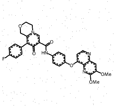 COc1cc2nccc(Oc3ccc(NC(=O)c4cn5c(c(-c6ccc(F)cc6)c4=O)COCC5)cc3)c2nc1OC